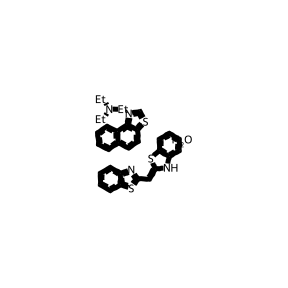 C(=C1Nc2ccccc2S1)c1nc2ccccc2s1.CCN(CC)CC.O.c1ccc2c(c1)ccc1scnc12